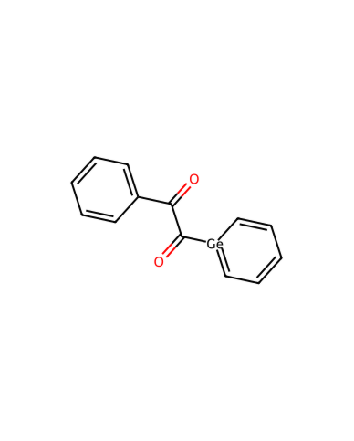 O=C([C](=O)[Ge]1=[CH]C=CC=[CH]1)c1ccccc1